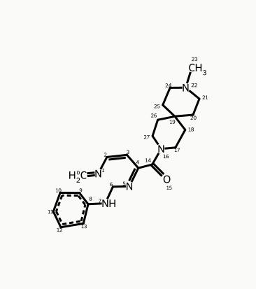 C=N/C=C\C(=N/CNc1ccccc1)C(=O)N1CCC2(CCN(C)CC2)CC1